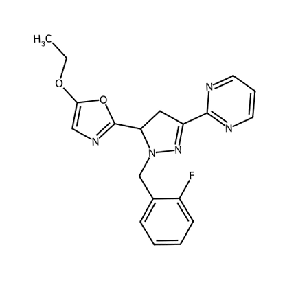 CCOc1cnc(C2CC(c3ncccn3)=NN2Cc2ccccc2F)o1